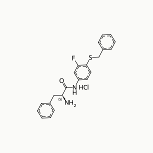 Cl.N[C@@H](Cc1ccccc1)C(=O)Nc1ccc(SCc2ccccc2)c(F)c1